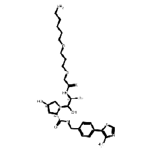 Cc1ncsc1-c1ccc(CNC(=O)[C@@H]2C[C@@H](O)CN2C(O)[C@@H](NC(=O)COCCCOCCCCCN)C(C)(C)C)cc1